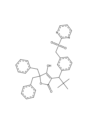 CC(C)(C)C(C1=C(O)C(Cc2ccccc2)(Cc2ccccc2)OC1=O)c1cccc(CS(=O)(=O)c2ncccn2)c1